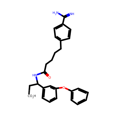 N=C(N)c1ccc(CCCCC(=O)NC(CC(=O)O)c2cccc(Oc3ccccc3)c2)cc1